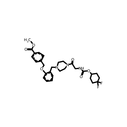 COC(=O)c1ccc(COc2ccccc2CN2CCN(C(=O)CNC(=O)OC3CCC(F)(F)CC3)CC2)cc1